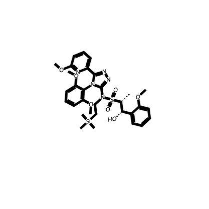 COc1cccc(-c2nnc(N(CC[Si](C)(C)C)S(=O)(=O)[C@H](C)[C@@H](O)c3ccccc3OC)n2-c2c(OC)cccc2OC)n1